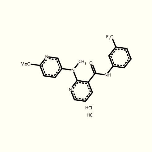 COc1ccc(N(C)c2ncccc2C(=O)Nc2cccc(C(F)(F)F)c2)cn1.Cl.Cl